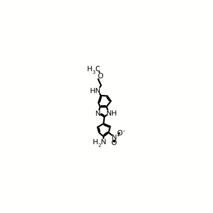 COCCNc1ccc2[nH]c(-c3ccc(N)c([N+](=O)[O-])c3)nc2c1